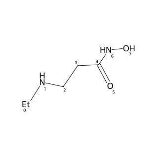 CCNCCC(=O)NO